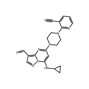 N#Cc1cccnc1N1CCN(c2cc(NC3CC3)n3ncc(C=O)c3n2)CC1